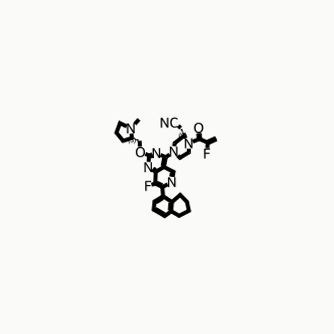 C=C(F)C(=O)N1CCN(c2nc(OC[C@@H]3CCCN3C)nc3c(F)c(-c4cccc5c4CCCC5)ncc23)C[C@@H]1CC#N